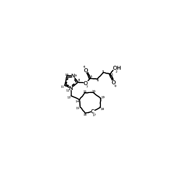 O=C(O)CCC(=O)Oc1nccn1CC1CCCCCCC1